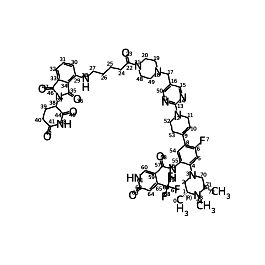 C[C@@H]1CN(c2cc(F)c(C3=CCN(c4ncc(CN5CCN(C(=O)CCCCNc6cccc7c6C(=O)N(C6CCC(=O)NC6=O)C7=O)CC5)cn4)CC3)cc2NC(=O)c2c[nH]c(=O)cc2C(F)(F)F)C[C@H](C)N1C